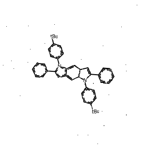 CC(C)(C)c1ccc(N2C(c3ccccc3)=CC3C=c4c(cc(-c5ccccc5)n4-c4ccc(C(C)(C)C)cc4)=CC32)cc1